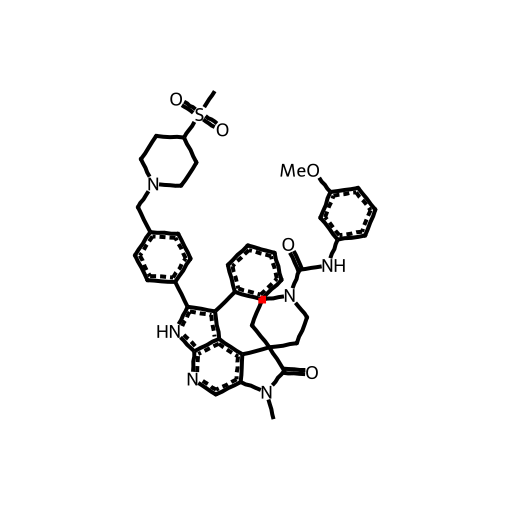 COc1cccc(NC(=O)N2CCC3(CC2)C(=O)N(C)c2cnc4[nH]c(-c5ccc(CN6CCC(S(C)(=O)=O)CC6)cc5)c(-c5ccccc5)c4c23)c1